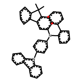 CC1(C)c2ccccc2-c2cc(N(c3ccc(-n4c5ccccc5c5ccccc54)cc3)c3ccccc3-c3ccccc3)ccc21